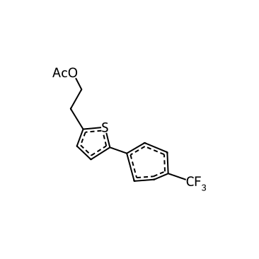 CC(=O)OCCc1ccc(-c2ccc(C(F)(F)F)cc2)s1